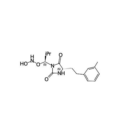 Cc1cccc(CC[C@@H]2NC(=O)N([C@@H](ONO)C(C)C)C2=O)c1